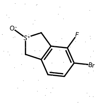 [O-][S+]1Cc2ccc(Br)c(F)c2C1